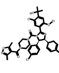 CCOc1cc(C(C)(C)C#N)c(Cl)cc1C1=N[C@@H](C2C=CC(Cl)=CC2)[C@@H](c2ccc(Cl)cc2)N1C(=O)N1CCN(C(=O)c2c(C)noc2C)CC1